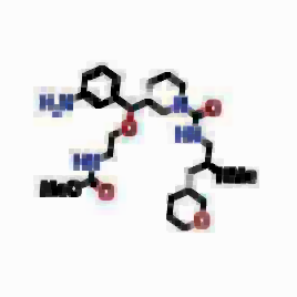 CN[C@H](CNC(=O)N1CCC[C@@H]([C@@H](OCCNC(=O)OC)c2cccc(N)c2)C1)C[C@H]1CCCOC1